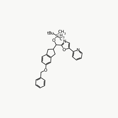 CC(C)(C)[Si](C)(C)OC(c1ncc(-c2ccccn2)o1)C1Cc2ccc(OCc3ccccc3)cc2C1